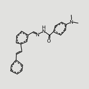 CN(C)c1ccc(C(=O)N/N=C/c2cccc(/C=C/c3ccccc3)c2)cc1